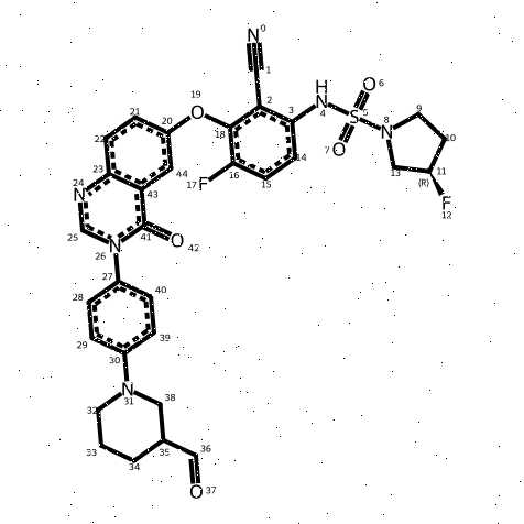 N#Cc1c(NS(=O)(=O)N2CC[C@@H](F)C2)ccc(F)c1Oc1ccc2ncn(-c3ccc(N4CCCC(C=O)C4)cc3)c(=O)c2c1